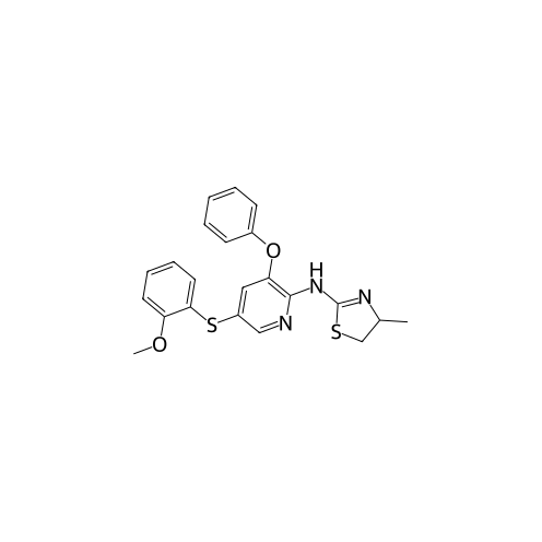 COc1ccccc1Sc1cnc(NC2=NC(C)CS2)c(Oc2ccccc2)c1